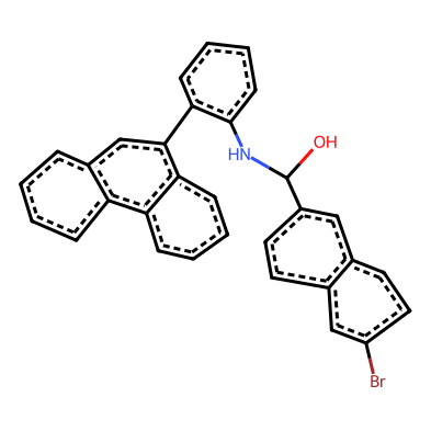 OC(Nc1ccccc1-c1cc2ccccc2c2ccccc12)c1ccc2cc(Br)ccc2c1